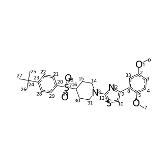 COc1ccc(OC)c(-c2csc(N3CCC(S(=O)(=O)c4ccc(C(C)(C)C)cc4)CC3)n2)c1